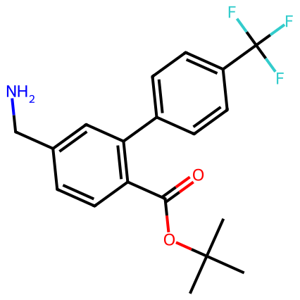 CC(C)(C)OC(=O)c1ccc(CN)cc1-c1ccc(C(F)(F)F)cc1